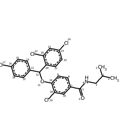 CC(C)CNC(=O)c1ccc(OC(c2ccc(Cl)cc2)c2ccc(Cl)cc2Cl)c(Cl)c1